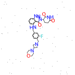 O=C1CCC(n2nnc3cccc(NCc4ccc(CN5CC(N6CCOCC6)C5)c(F)c4)c3c2=O)C(=O)N1